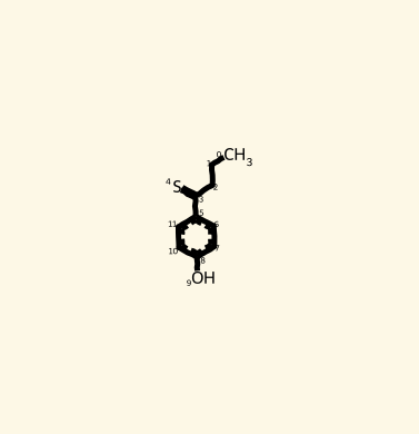 CCCC(=S)c1ccc(O)cc1